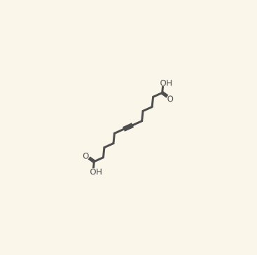 O=C(O)CCCCC#CCCCCC(=O)O